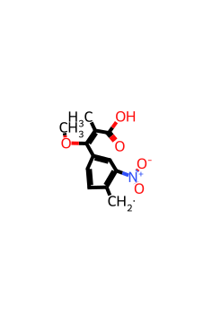 [CH2]c1ccc(C(OC)=C(C)C(=O)O)cc1[N+](=O)[O-]